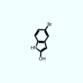 Oc1cc2cc(Br)ccc2[nH]1